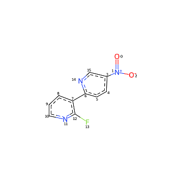 O=[N+]([O-])c1ccc(-c2cccnc2F)nc1